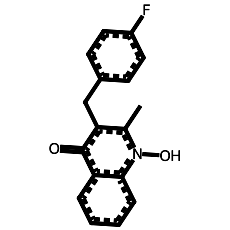 Cc1c(Cc2ccc(F)cc2)c(=O)c2ccccc2n1O